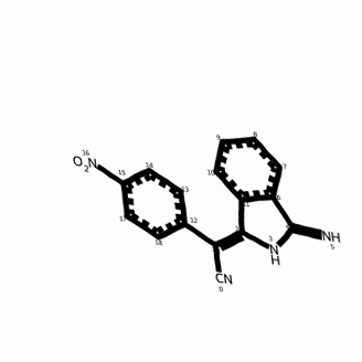 N#CC(=C1NC(=N)c2ccccc21)c1ccc([N+](=O)[O-])cc1